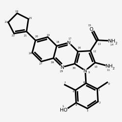 Cc1ccc(O)c(C)c1-n1c(N)c(C(N)=O)c2nc3cc(C4=CCCC4)ccc3nc21